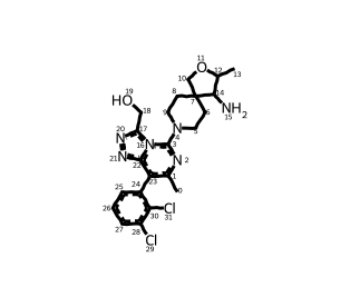 Cc1nc(N2CCC3(CC2)COC(C)C3N)n2c(CO)nnc2c1-c1cccc(Cl)c1Cl